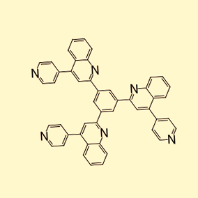 c1ccc2c(-c3ccncc3)cc(-c3cc(-c4cc(-c5ccncc5)c5ccccc5n4)cc(-c4cc(-c5ccncc5)c5ccccc5n4)c3)nc2c1